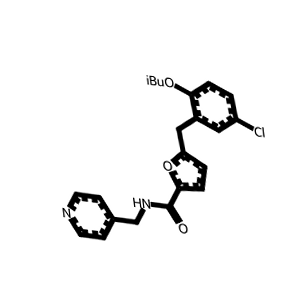 CC(C)COc1ccc(Cl)cc1Cc1ccc(C(=O)NCc2ccncc2)o1